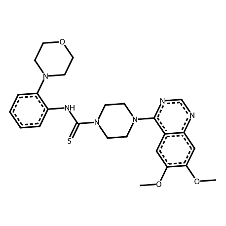 COc1cc2ncnc(N3CCN(C(=S)Nc4ccccc4N4CCOCC4)CC3)c2cc1OC